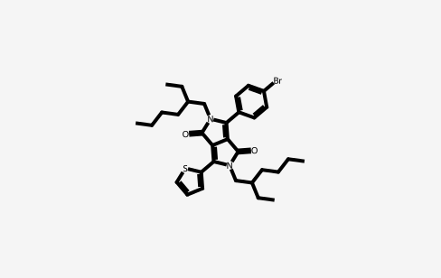 CCCCC(CC)CN1C(=O)C2=C(c3cccs3)N(CC(CC)CCCC)C(=O)C2=C1c1ccc(Br)cc1